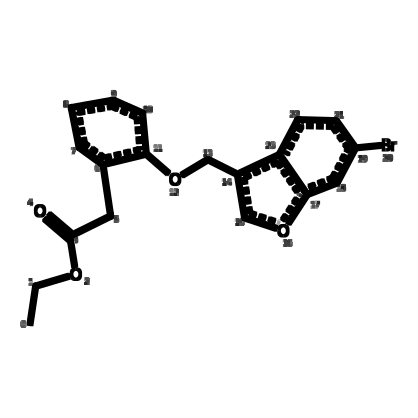 CCOC(=O)Cc1ccccc1OCc1coc2cc(Br)ccc12